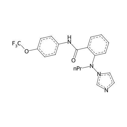 CCCN(c1ccccc1C(=O)Nc1ccc(OC(F)(F)F)cc1)n1ccnc1